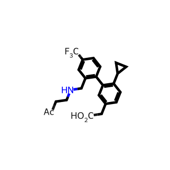 CC(=O)CCNCc1cc(C(F)(F)F)ccc1-c1cc(CC(=O)O)ccc1C1CC1